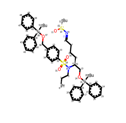 CC(C)CCN([C@@H](CCC/C=N/[S@+]([O-])C(C)(C)C)CO[Si](c1ccccc1)(c1ccccc1)C(C)(C)C)S(=O)(=O)c1ccc(CO[Si](c2ccccc2)(c2ccccc2)C(C)(C)C)cc1